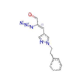 [N-]=[N+]=N/C(C=O)=C\c1cnn(CCc2ccccc2)c1